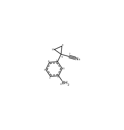 Bc1cccc(C2(C#N)CC2)c1